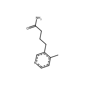 Cc1ccncc1CCCC(N)=O